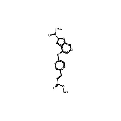 COC(=O)c1cc2c(Oc3ccc(C=CC(=O)OC(C)(C)C)cc3)cncc2s1